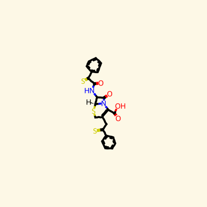 O=C(O)C1=C(CC(=S)c2ccccc2)CS[C@H]2C(NC(=O)C(=S)c3ccccc3)C(=O)N12